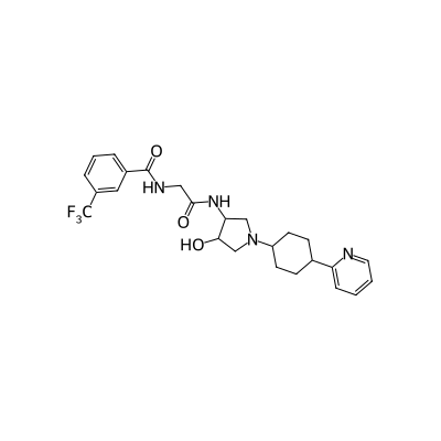 O=C(CNC(=O)c1cccc(C(F)(F)F)c1)NC1CN(C2CCC(c3ccccn3)CC2)CC1O